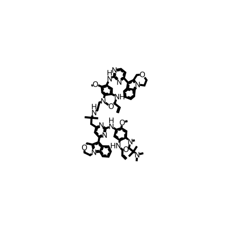 C=CC(=O)Nc1cc(Nc2nccc(-c3c4n(c5ccccc35)CCOC4)n2)c(OC)cc1N(C)CCNC(C)(C)Cc1cc(-c2c3n(c4ccccc24)CCOC3)nc(Nc2cc(NC(=O)C=C)c(N(C)CC(C)(C)N(C)C)cc2OC)n1